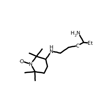 CCC(N)CCCNC1CCC(C)(C)N([O])C1(C)C